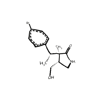 C[C@H](c1ccc(Br)cc1)[C@@]1(C)C(=O)NC[C@@H]1CO